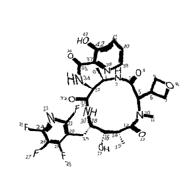 C[C@H]1NC(=O)C(C2COC2)N(C)C(=O)[C@H](C)[C@H](O)[C@H](Cc2c(F)nc(F)c(F)c2F)NC(=O)[C@H]1NC(=O)c1ncccc1O